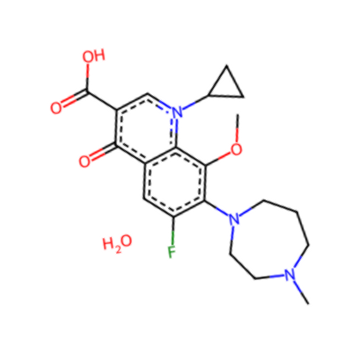 COc1c(N2CCCN(C)CC2)c(F)cc2c(=O)c(C(=O)O)cn(C3CC3)c12.O